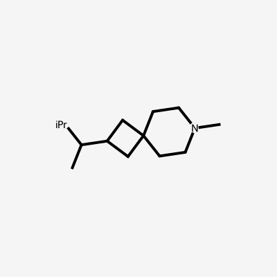 CC(C)C(C)C1CC2(CCN(C)CC2)C1